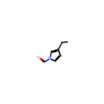 CCc1[c]n(C=O)cc1